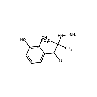 CCC(c1cccc(O)c1O)C(C)(NN)C(=O)O